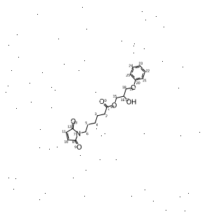 O=C(CCCCCN1C(=O)C=CC1=O)OCC(O)COc1ccccc1